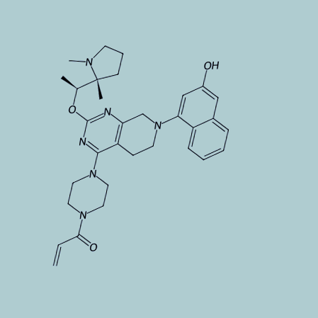 C=CC(=O)N1CCN(c2nc(O[C@@H](C)[C@@]3(C)CCCN3C)nc3c2CCN(c2cc(O)cc4ccccc24)C3)CC1